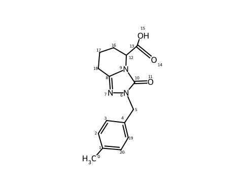 Cc1ccc(Cn2nc3n(c2=O)C(C(=O)O)CCC3)cc1